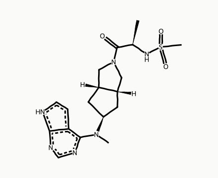 C[C@@H](NS(C)(=O)=O)C(=O)N1C[C@H]2C[C@H](N(C)c3ncnc4[nH]ccc34)C[C@H]2C1